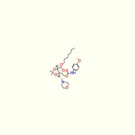 CCCCCCCO[C@H]1O[C@H]([C@@H](CN2CCOCC2)OC(=O)Nc2ccc(OC)cc2)[C@@H]2OC(C)(C)O[C@H]12